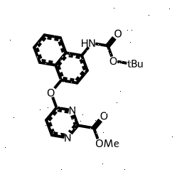 COC(=O)c1nccc(Oc2ccc(NC(=O)OC(C)(C)C)c3ccccc23)n1